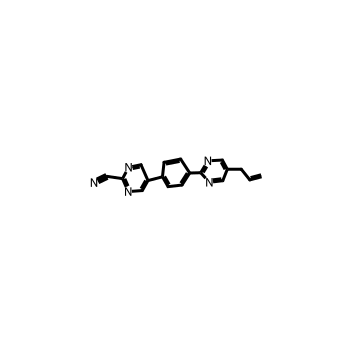 C=CCc1cnc(-c2ccc(-c3cnc(C#N)nc3)cc2)nc1